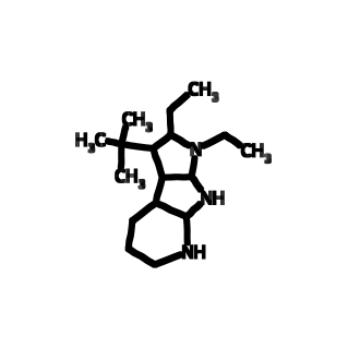 CCC1C(C(C)(C)C)C2C3CCCNC3NC2N1CC